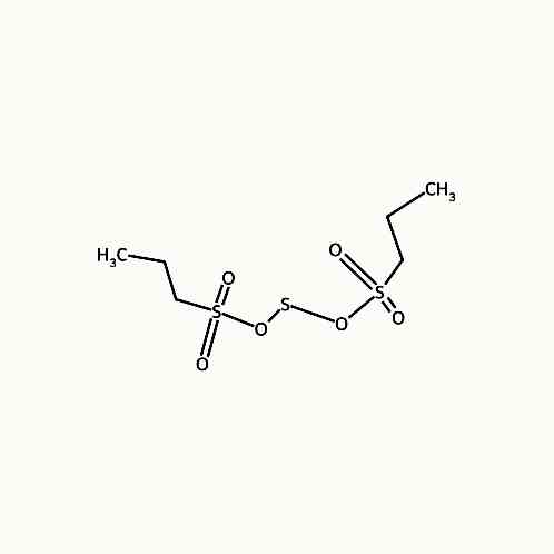 CCCS(=O)(=O)OSOS(=O)(=O)CCC